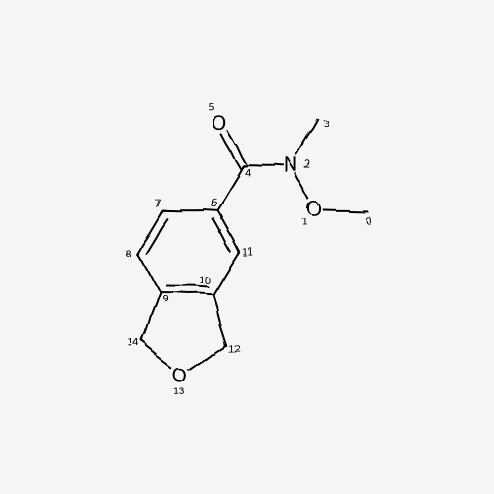 CON(C)C(=O)c1ccc2c(c1)COC2